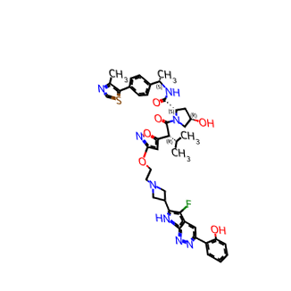 Cc1ncsc1-c1ccc([C@H](C)NC(=O)[C@@H]2C[C@@H](O)CN2C(=O)[C@@H](c2cc(OCCN3CC(c4[nH]c5nnc(-c6ccccc6O)cc5c4F)C3)no2)C(C)C)cc1